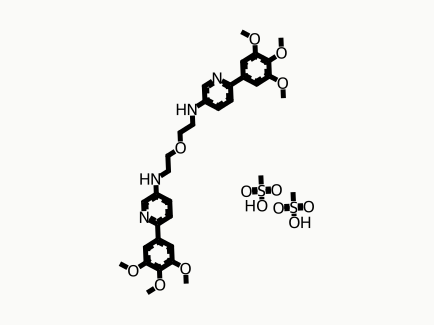 COc1cc(-c2ccc(NCCOCCNc3ccc(-c4cc(OC)c(OC)c(OC)c4)nc3)cn2)cc(OC)c1OC.CS(=O)(=O)O.CS(=O)(=O)O